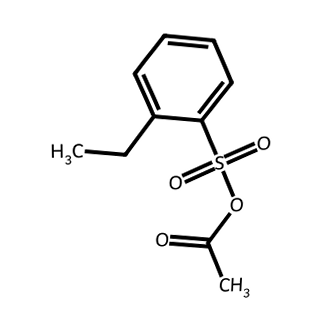 CCc1ccccc1S(=O)(=O)OC(C)=O